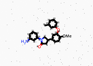 COc1ccc(C2CC(=O)N(c3cccc(N)c3)C2)cc1Oc1cccc(C)c1